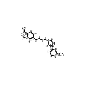 Cc1c(CCNCc2cnn(-c3cccc(C#N)c3)c2)ccc2c1COC2=O